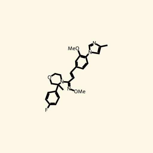 CO/N=C(\C=C\c1ccc(-n2cnc(C)c2)c(OC)c1)N1CCOCC1(C)c1ccc(F)cc1